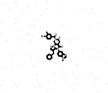 Cc1cc(C(=O)N2Cc3c(c(=O)n(-c4ccc5c(c4)ncn5C)c4c(Cc5ccccc5)cnn34)C[C@@H]2C)ccc1Br